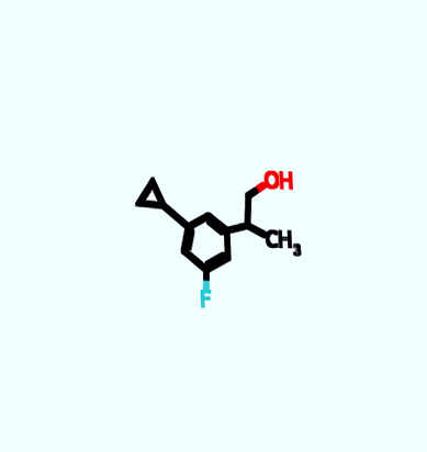 C[C](CO)c1cc(F)cc(C2CC2)c1